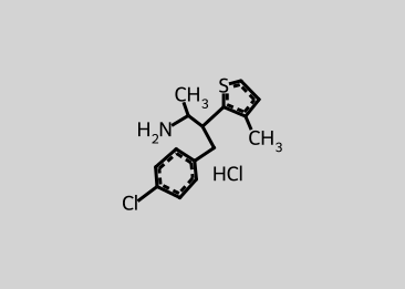 Cc1ccsc1C(Cc1ccc(Cl)cc1)C(C)N.Cl